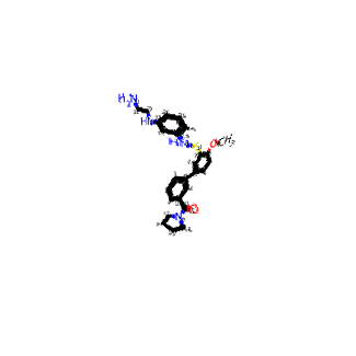 COc1ccc(-c2cccc(C(=O)N3CCCC3)c2)cc1SNc1cccc(NCCN)c1